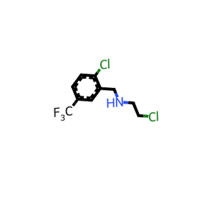 FC(F)(F)c1ccc(Cl)c(CNCCCl)c1